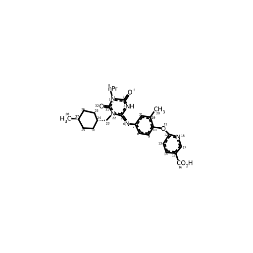 CCCn1c(=O)[nH]/c(=N\c2ccc(Oc3ccc(C(=O)O)cn3)c(C)c2)n(C[C@H]2CC[C@H](C)CC2)c1=O